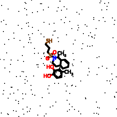 Cc1ccc(O)c(O)c1[C@@]12CCC=CC1C(C)N(S(=O)(=O)CCCS)CC2